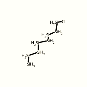 [SiH3][SiH2][SiH2][SiH2][SiH2][SiH2][SiH2][SiH2]Cl